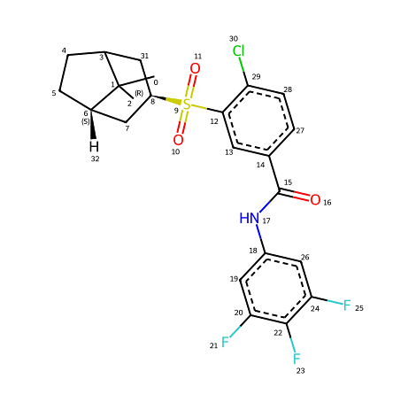 CC1(C)C2CC[C@H]1C[C@H](S(=O)(=O)c1cc(C(=O)Nc3cc(F)c(F)c(F)c3)ccc1Cl)C2